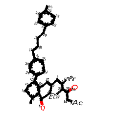 CCCC(CC1CC(=O)c2c(C)ccc(-c3ccc(CCCCc4ccc(C)cc4)cc3)c2C1)C(CC)C(=O)CC(C)=O